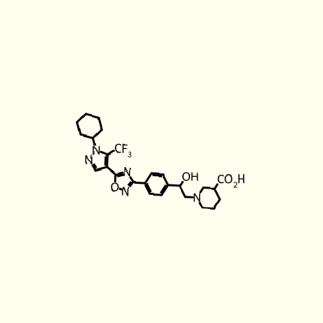 O=C(O)C1CCCN(CC(O)c2ccc(-c3noc(-c4cnn(C5CCCCC5)c4C(F)(F)F)n3)cc2)C1